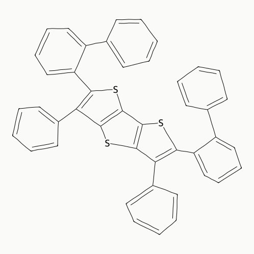 c1ccc(-c2ccccc2-c2sc3c(sc4c(-c5ccccc5)c(-c5ccccc5-c5ccccc5)sc43)c2-c2ccccc2)cc1